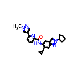 Cn1cc(-c2cccc(C(=O)Nc3cc4cn(C5CCCC5)nc4cc3C3CC3)n2)cn1